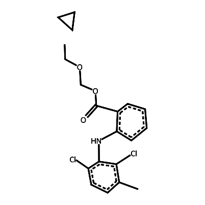 C1CC1.CCOCOC(=O)c1ccccc1Nc1c(Cl)ccc(C)c1Cl